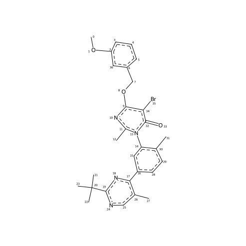 COc1cccc(COc2nc(C)n(-c3cc(-c4nc(C(C)(C)C)ncc4C)ccc3C)c(=O)c2Br)c1